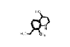 CCc1ccc2c(c1C)NCCC2O